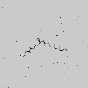 CCCCCCC/C=C/C(=O)SCCCCCC